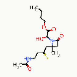 CCCCOC(=O)C(O)N1C(=O)CC1(C)CC(=S)CCNC(C)=O